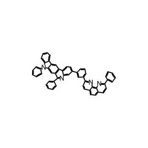 c1ccc(-c2ccc3ccc4ccc(-c5cccc(-c6ccc7c(c6)nc(-c6ccccc6)c6cc8c(cc67)c6ccccc6n8-c6ccccc6)c5)nc4c3n2)cc1